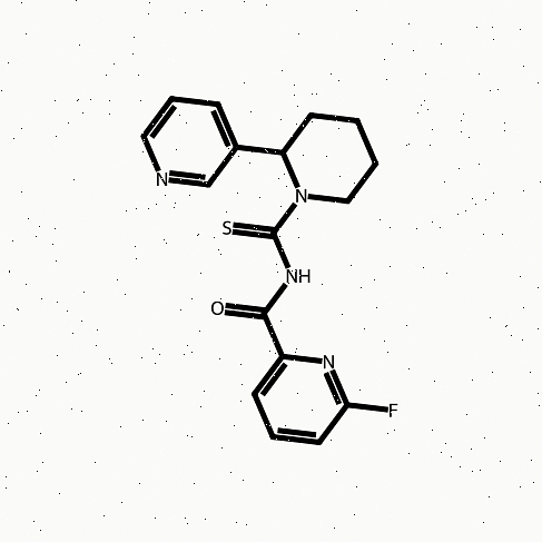 O=C(NC(=S)N1CCCCC1c1cccnc1)c1cccc(F)n1